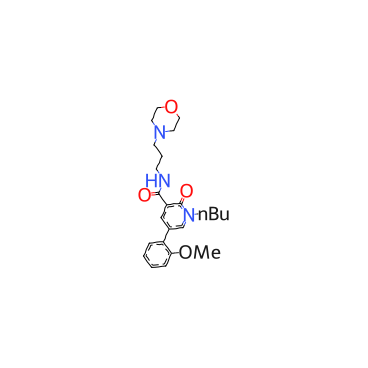 CCCCn1cc(-c2ccccc2OC)cc(C(=O)NCCCN2CCOCC2)c1=O